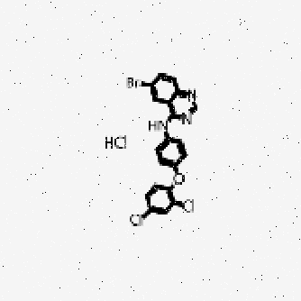 Cl.Clc1ccc(Oc2ccc(Nc3ncnc4ccc(Br)cc34)cc2)c(Cl)c1